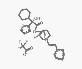 O=C(O[C@H]1C[N+]2(CCc3ccccc3)CCC1CC2)[C@](O)(c1cccs1)C1CCCCC1.O=C([O-])C(F)(F)F